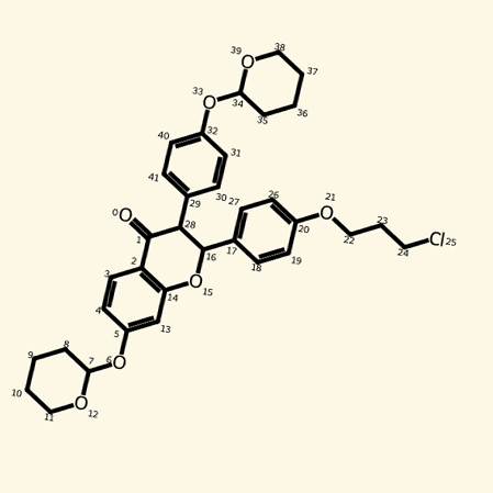 O=C1c2ccc(OC3CCCCO3)cc2OC(c2ccc(OCCCCl)cc2)C1c1ccc(OC2CCCCO2)cc1